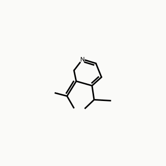 CC(C)=C1CN=CC=C1C(C)C